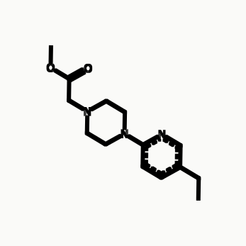 CCc1ccc(N2CCN(CC(=O)OC)CC2)nc1